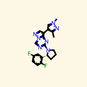 Cc1nn(C)cc1-c1cnn2cnc(N3CCC[C@@H]3c3cc(F)ccc3F)nc12